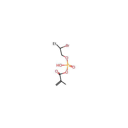 C=C(C)C(=O)OP(=O)(O)OCC(Br)CC